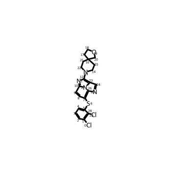 Clc1cccc(Sc2ccc3nc(N4CCC5(CCOC5)CC4)c4cnc2n34)c1Cl